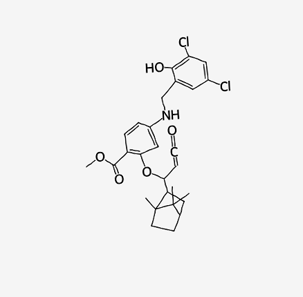 COC(=O)c1ccc(NCc2cc(Cl)cc(Cl)c2O)cc1OC(C=C=O)C1CC2CCC1(C)C2(C)C